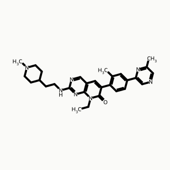 CCn1c(=O)c(-c2ccc(-c3cncc(C)n3)cc2C)cc2cnc(NCCC3CCN(C)CC3)nc21